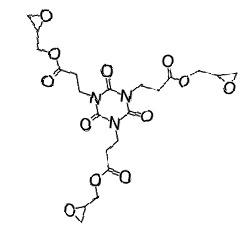 O=C(CCn1c(=O)n(CCC(=O)OCC2CO2)c(=O)n(CCC(=O)OCC2CO2)c1=O)OCC1CO1